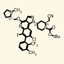 Cc1cccc(-c2c(Cl)cc3c(nc(OC[C@@H]4CCCN4C)c4cnn([C@H]5CCN(C(=O)OC(C)(C)C)[C@H](CC#N)C5)c43)c2F)c1C(F)(F)F